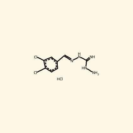 Cl.N=C(NN)NN=Cc1ccc(Cl)c(Cl)c1